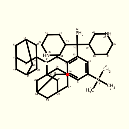 C[Si](C)(C)c1ccc(CP(C23CC4CC(CC(C4)C2)C3)C23CC4CC(CC(C4)C2)C3)c(C(P)(C2CCCNC2)C2CCCNC2)c1